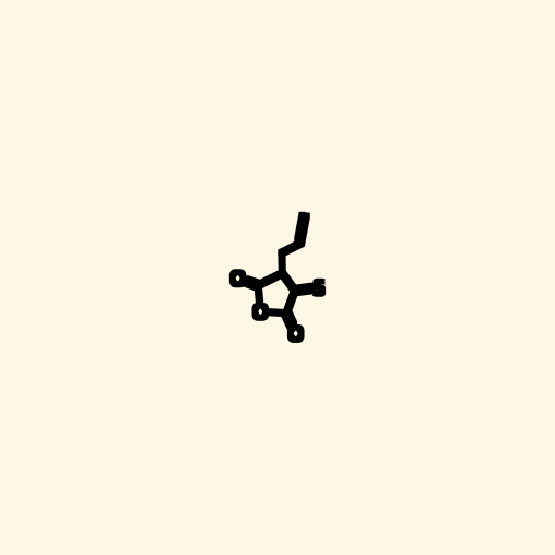 C=CCC1C(=O)OC(=O)C1=S